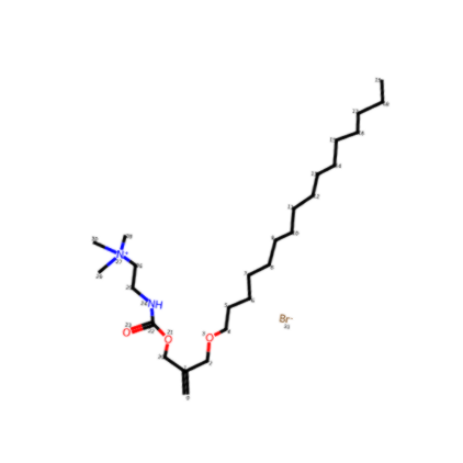 C=C(COCCCCCCCCCCCCCCCC)COC(=O)NCC[N+](C)(C)C.[Br-]